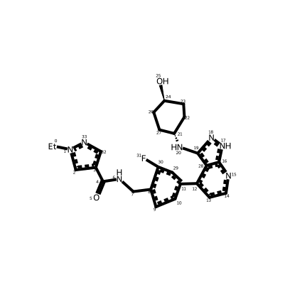 CCn1cc(C(=O)NCc2ccc(-c3ccnc4[nH]nc(N[C@H]5CC[C@H](O)CC5)c34)cc2F)cn1